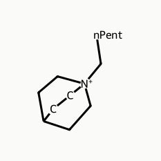 CCCCCC[N+]12CCC(CC1)CC2